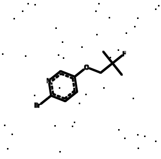 CC(C)(F)COc1ccc(Br)nc1